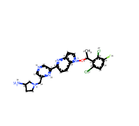 CC(On1ccc2nc(-c3cncc(CN4CCC(N)C4)n3)ccc21)c1c(Cl)ccc(F)c1Cl